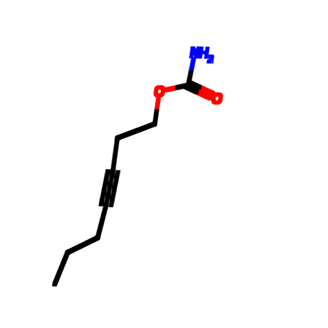 CCCC#CCCOC(N)=O